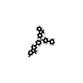 Cc1ccc2c(c1)C(C)(C)c1cc(-c3ccc(N(c4ccc(-c5ccccc5)cc4)c4ccc5c(c4)C(C)(C)c4ccccc4-5)cc3)ccc1-2